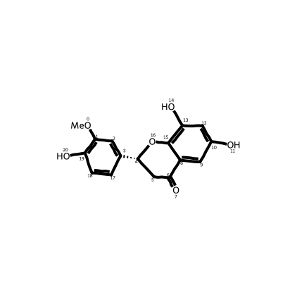 COc1cc([C@H]2CC(=O)c3cc(O)cc(O)c3O2)ccc1O